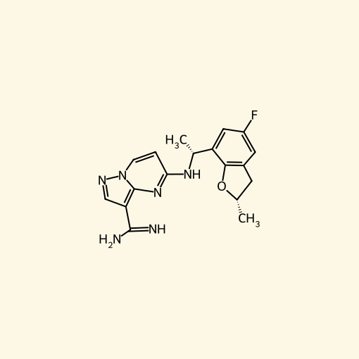 C[C@H]1Cc2cc(F)cc([C@@H](C)Nc3ccn4ncc(C(=N)N)c4n3)c2O1